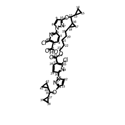 O=C(O)c1ccc(-n2ccc(OC(C3CC3)C3CC3CCCCCOC(=O)c3ccc(-n4ccc(OC(C5CC5)C5CC5)n4)nc3Cl)n2)nc1Cl